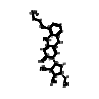 NCCOc1cccc2c1Nc1nc(=S)n([C@@H]3S[C@H](CO)C(O)C3O)cc1S2